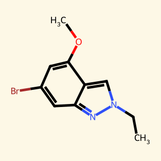 CCn1cc2c(OC)cc(Br)cc2n1